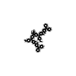 C=Cc1ccc(N(c2ccc(C(C)(c3ccc(N(c4ccc(C=C)cc4)c4ccc(-c5ccc(N(c6ccccc6)c6ccccc6)cc5C)c(C)c4)cc3)C(F)(F)F)cc2)c2ccc(-c3ccc(N(c4ccccc4)c4ccccc4)cc3C)c(C)c2)cc1